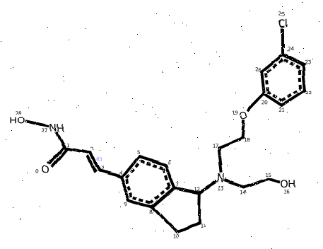 O=C(/C=C/c1ccc2c(c1)CCC2N(CCO)CCOc1cccc(Cl)c1)NO